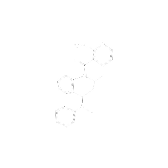 COc1ncccc1C(=O)N1c2ccccc2C(N(C(C)=O)c2ccccc2)CC1C